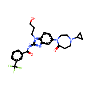 O=C(/N=c1\[nH]c2cc(N3CCN(C4CC4)CCC3=O)ccc2n1CCCO)c1cccc(C(F)(F)F)c1